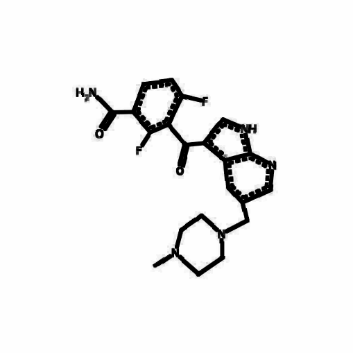 CN1CCN(Cc2cnc3[nH]cc(C(=O)c4c(F)ccc(C(N)=O)c4F)c3c2)CC1